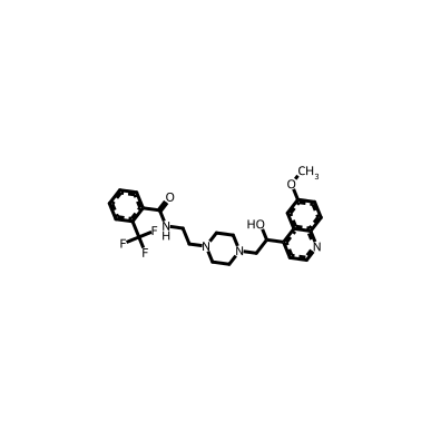 COc1ccc2nccc(C(O)CN3CCN(CCNC(=O)c4ccccc4C(F)(F)F)CC3)c2c1